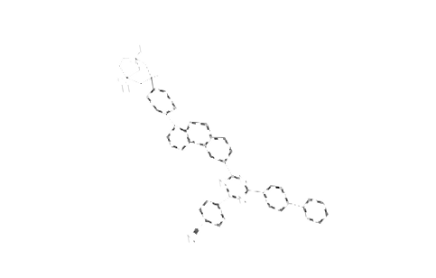 CC1(c2ccc(-c3cccc4c3ccc3ccc(-c5nc(-c6ccc(C#N)cc6)nc(-c6ccc(-c7ccccc7)cc6)n5)cc34)cc2)C[C@@H]2CC[C@@H](C2)C1